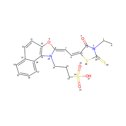 CCN1C(=O)C(=CC=C2Oc3ccc4ccccc4c3N2CCCS(=O)(=O)O)SC1=S